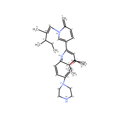 C=C1C=CC(C(=C/C(C)=O)/N=C(/C=C\C(=C/C)N2CCNCC2)C(C)CC)=CN1/C=C(/C)C(C)CC